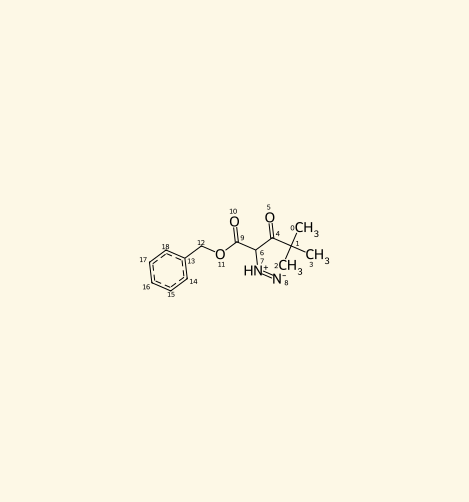 CC(C)(C)C(=O)C([NH+]=[N-])C(=O)OCc1ccccc1